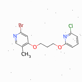 Cc1cnc(Br)cc1OCCCOc1cccc(Cl)n1